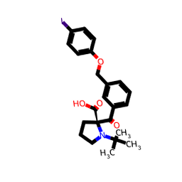 CC(C)(C)N1CCC[C@]1(C(=O)O)C(=O)c1cccc(COc2ccc(I)cc2)c1